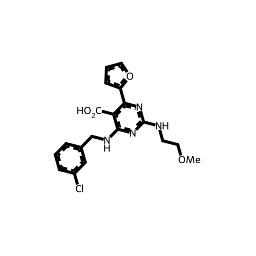 COCCNc1nc(NCc2cccc(Cl)c2)c(C(=O)O)c(-c2ccco2)n1